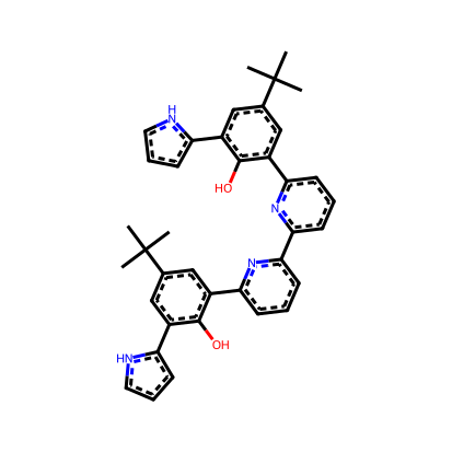 CC(C)(C)c1cc(-c2cccc(-c3cccc(-c4cc(C(C)(C)C)cc(-c5ccc[nH]5)c4O)n3)n2)c(O)c(-c2ccc[nH]2)c1